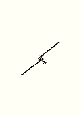 CCCCCCCCCCCCCCCCCCCC(=O)OP(=O)(OCC[N+](C)(C)C)OC(=O)CCCCCCCCCCCCCCCCCCC